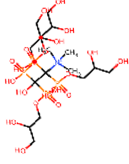 C[N+](C)(C)C(C(O)(P(=O)(O)OCC(O)CO)P(=O)(O)OCC(O)CO)(P(=O)(O)OCC(O)CO)P(=O)(O)OCC(O)CO